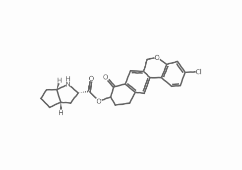 O=C1c2cc3c(cc2CCC1OC(=O)[C@@H]1C[C@@H]2CCC[C@@H]2N1)-c1ccc(Cl)cc1OC3